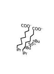 CC(C)CCCCCCC(=O)[O-].CC(C)CCCCCCC(=O)[O-].CCC[CH2][Sn+2][CH2]CCC